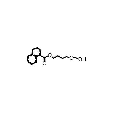 O=C(OCCCCCCO)c1cccc2ccccc12